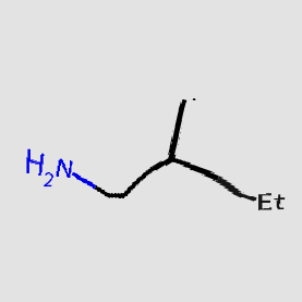 [CH2]C(CC)CN